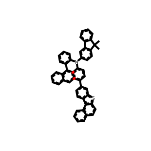 CC1(C)c2ccccc2-c2cc(N(c3ccc(-c4ccc5c(c4)sc4ccc6ccccc6c45)cc3)c3ccccc3-c3cccc4ccccc34)ccc21